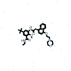 CCNC(=O)c1cc(C(C)(C)C)cc(NC(=O)Cc2ccc(OCCN3CCOCC3)c3ccccc23)c1OC